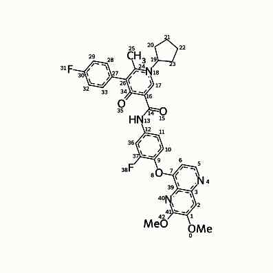 COc1cc2nccc(Oc3ccc(NC(=O)c4cn(C5CCCC5)c(C)c(-c5ccc(F)cc5)c4=O)cc3F)c2nc1OC